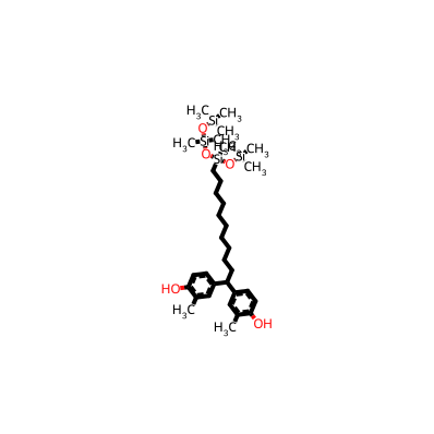 Cc1cc(C(CCCCCCCCCC[Si](C)(O[Si](C)(C)C)O[Si](C)(C)O[Si](C)(C)C)c2ccc(O)c(C)c2)ccc1O